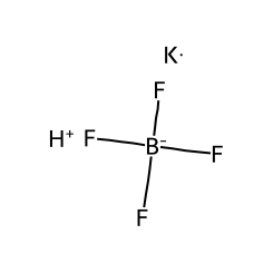 F[B-](F)(F)F.[H+].[K]